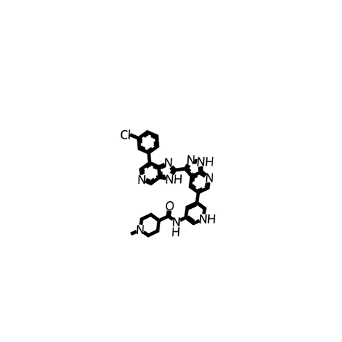 CN1CCC(C(=O)NC2=CNCC(c3cnc4[nH]nc(-c5nc6c(-c7cccc(Cl)c7)cncc6[nH]5)c4c3)=C2)CC1